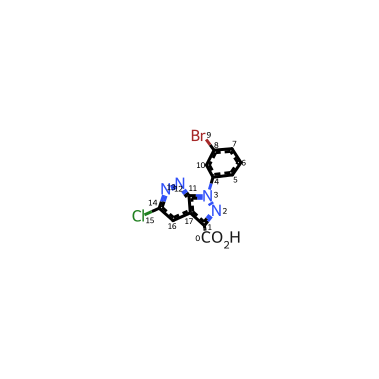 O=C(O)c1nn(-c2cccc(Br)c2)c2nnc(Cl)cc12